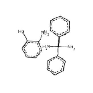 NC(N)(c1ccccc1)c1ccccc1.Nc1ccccc1O